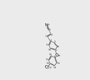 N#CC=Cc1ccc(Oc2ccc(Cl)cc2)cc1